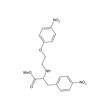 COC(=O)C(Cc1ccc([N+](=O)[O-])cc1)NCCOc1ccc([N+](=O)[O-])cc1